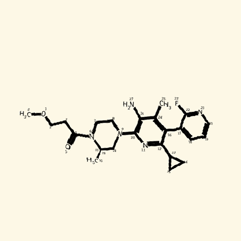 COCCC(=O)N1CCN(c2nc(C3CC3)c(-c3cccnc3F)c(C)c2N)C[C@H]1C